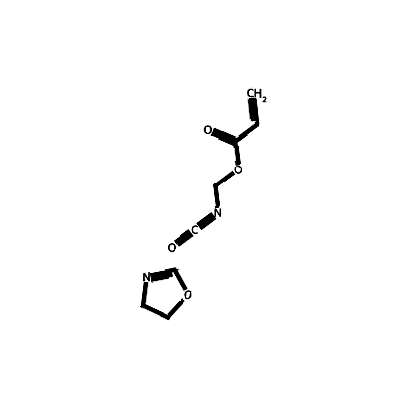 C=CC(=O)OCN=C=O.[C]1=NCCO1